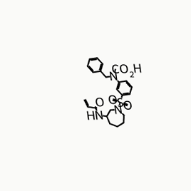 C=CC(=O)NC1CCCCN(S(=O)(=O)c2cccc(N(Cc3ccccc3)C(=O)O)c2)C1